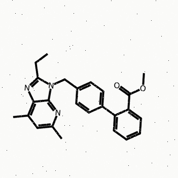 CCc1nc2c(C)cc(C)nc2n1Cc1ccc(-c2ccccc2C(=O)OC)cc1